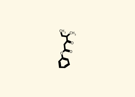 CCC(C)C(=O)CC(=O)Oc1ccccc1